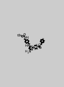 CC(C)(C)OC(=O)NCC1CCC(CNc2cc(N)nc(N3CCN(C(=O)OCc4ccccc4)CC3)n2)CC1